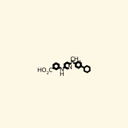 CN(c1ccc(C2CCCCC2)cc1)c1ccc(Nc2cccc(C(=O)O)c2)cn1